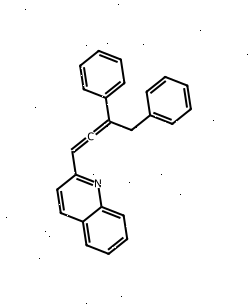 C(=Cc1ccc2ccccc2n1)=C(Cc1ccccc1)c1ccccc1